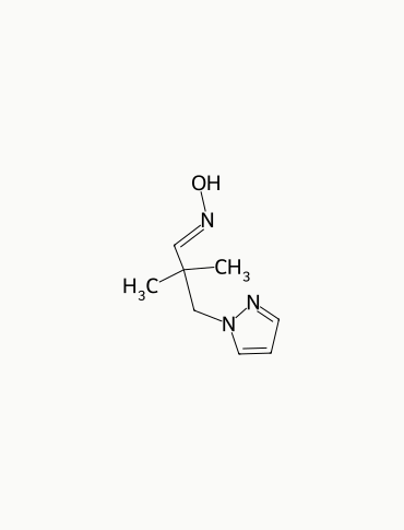 CC(C)(C=NO)Cn1cccn1